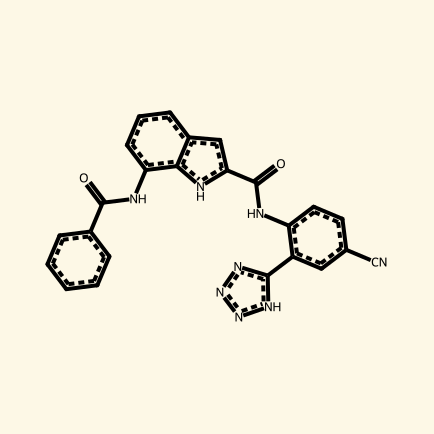 N#Cc1ccc(NC(=O)c2cc3cccc(NC(=O)c4ccccc4)c3[nH]2)c(-c2nnn[nH]2)c1